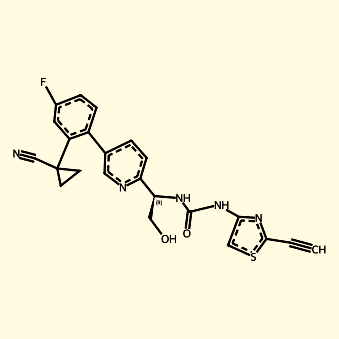 C#Cc1nc(NC(=O)N[C@@H](CO)c2ccc(-c3ccc(F)cc3C3(C#N)CC3)cn2)cs1